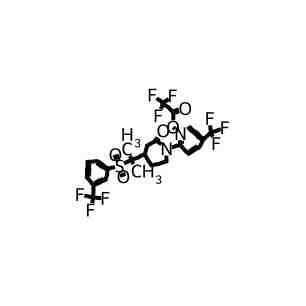 CC(C)(C1CCN(c2ccc(C(F)(F)F)c[n+]2OC(=O)C(F)(F)F)C(=O)C1)S(=O)(=O)c1cccc(C(F)(F)F)c1